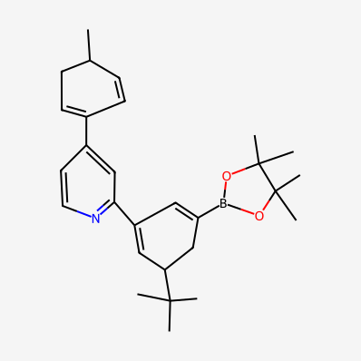 CC1C=CC(c2ccnc(C3=CC(C(C)(C)C)CC(B4OC(C)(C)C(C)(C)O4)=C3)c2)=CC1